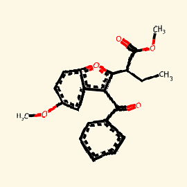 CCC(C(=O)OC)c1oc2ccc(OC)cc2c1C(=O)c1ccccc1